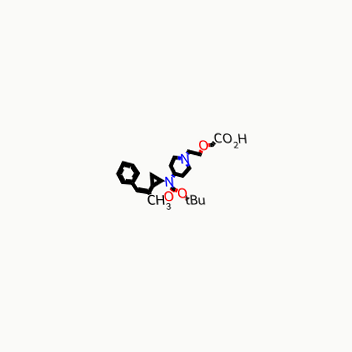 CC(=Cc1ccccc1)C1C[C@@H]1N(C(=O)OC(C)(C)C)C1CCN(CCOCC(=O)O)CC1